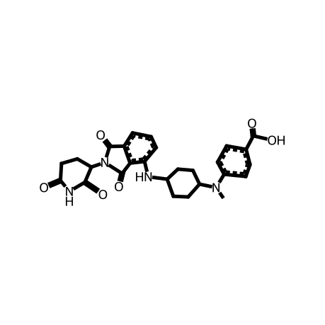 CN(c1ccc(C(=O)O)cc1)C1CCC(Nc2cccc3c2C(=O)N(C2CCC(=O)NC2=O)C3=O)CC1